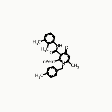 CCCCCc1c(C(=O)Nc2cccc(C)c2C)c(=O)cc(C)n1Cc1ccc(C)cc1